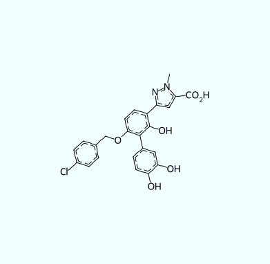 Cn1nc(-c2ccc(OCc3ccc(Cl)cc3)c(-c3ccc(O)c(O)c3)c2O)cc1C(=O)O